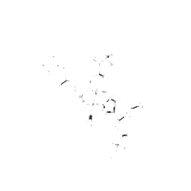 COC(C)(C)C(=O)N/C(=N/C=N)c1ccc([C@]2(C#N)O[C@H](COC(=O)CC3CCC3)[C@@H](OC(=O)[C@@H](N)C(C)(C)C)[C@H]2O)[nH]1